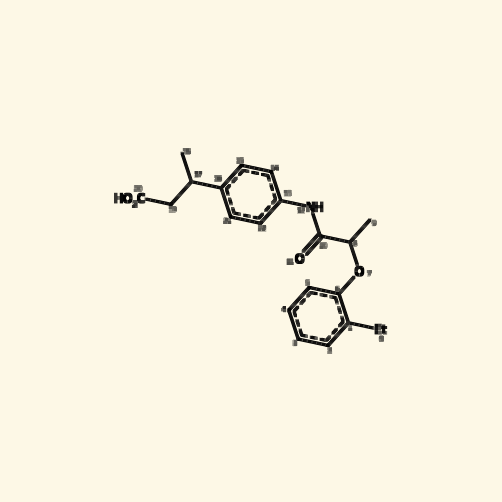 CCc1ccccc1OC(C)C(=O)Nc1ccc(C(C)CC(=O)O)cc1